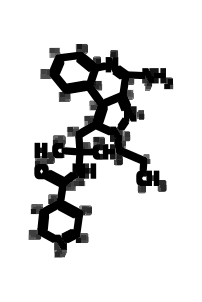 CCCn1nc2c(N)nc3ccccc3c2c1CC(C)(C)NC(=O)c1ccncc1